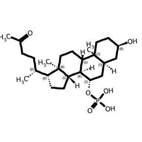 CC(=O)CC[C@@H](C)[C@H]1CC[C@H]2[C@@H]3[C@@H](OP(=O)(O)O)C[C@@H]4C[C@H](O)CC[C@]4(C)[C@H]3CC[C@]12C